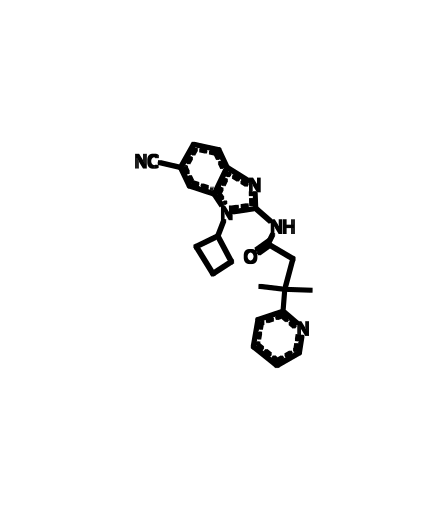 CC(C)(CC(=O)Nc1nc2ccc(C#N)cc2n1C1CCC1)c1ccccn1